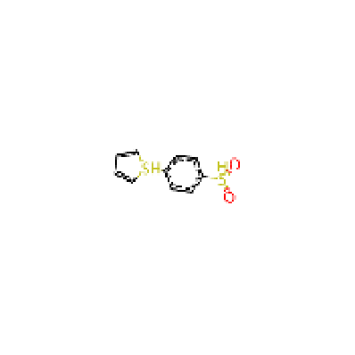 O=[SH](=O)c1ccc([SH]2C=CC=C2)cc1